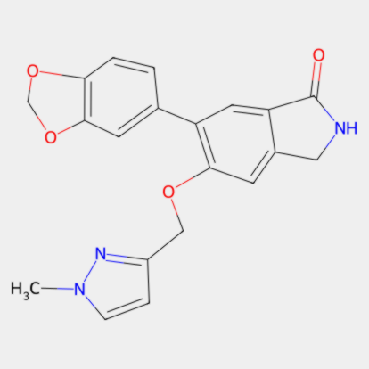 Cn1ccc(COc2cc3c(cc2-c2ccc4c(c2)OCO4)C(=O)NC3)n1